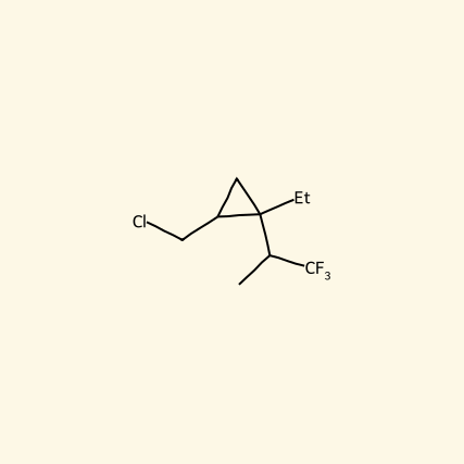 CCC1(C(C)C(F)(F)F)CC1CCl